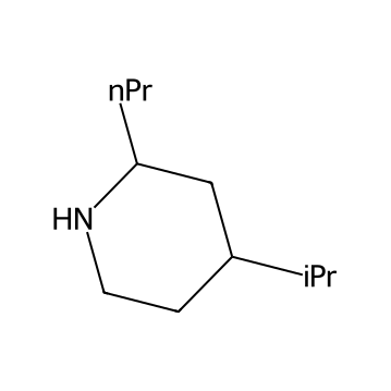 CCCC1CC(C(C)C)CCN1